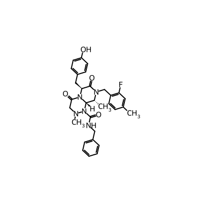 Cc1ccc(CN2C(=O)[C@H](Cc3ccc(O)cc3)N3C(=O)CN(C)N(C(=O)NCc4ccccc4)[C@H]3[C@H]2C)c(F)c1